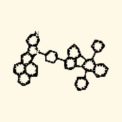 C1=C(c2ccc3c4c(cccc24)-c2c-3c(-c3ccccc3)c3ccccc3c2-c2ccccc2)CCC(n2c3cnccc3c3cc4ccc5cccc6ccc(c4c56)c32)=C1